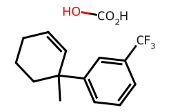 CC1(c2cccc(C(F)(F)F)c2)C=CCCC1.O=C(O)O